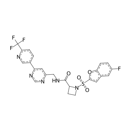 O=C(NCc1cc(-c2ccc(C(F)(F)F)nc2)ncn1)C1CCN1S(=O)(=O)c1cc2cc(F)ccc2o1